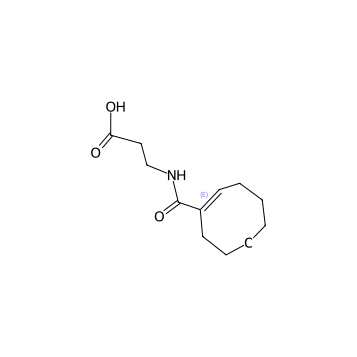 O=C(O)CCNC(=O)/C1=C/CCCCCC1